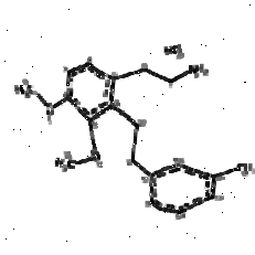 COc1ccc(CCN)c(CCc2cccc(C)c2)c1OC.Cl